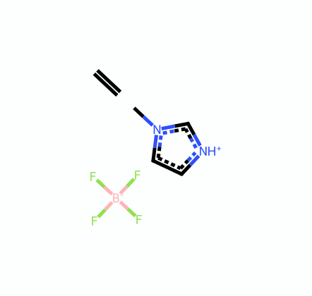 C=C.Cn1cc[nH+]c1.F[B-](F)(F)F